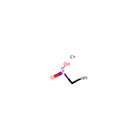 CCCC[PH](=O)O.[Cr]